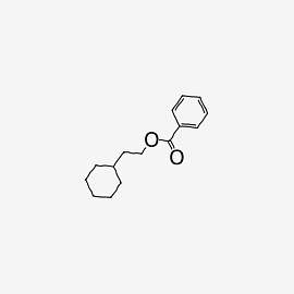 O=C(OCCC1CCCCC1)c1ccccc1